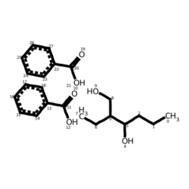 CCCC(O)C(CC)CO.O=C(O)c1ccccc1.O=C(O)c1ccccc1